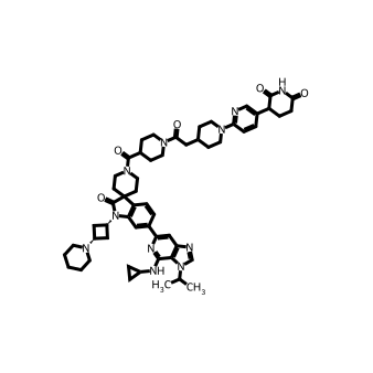 CC(C)n1cnc2cc(-c3ccc4c(c3)N([C@H]3C[C@@H](N5CCCCC5)C3)C(=O)C43CCN(C(=O)C4CCN(C(=O)CC5CCN(c6ccc(C7CCC(=O)NC7=O)cn6)CC5)CC4)CC3)nc(NC3CC3)c21